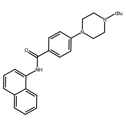 CC(C)(C)N1CCN(c2ccc(C(=O)Nc3cccc4ccccc34)cc2)CC1